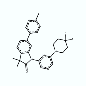 Cc1ncc(-c2ccc3c(c2)N(c2cncc(N4CCC(F)(F)CC4)n2)C(=O)C3(C)C)cn1